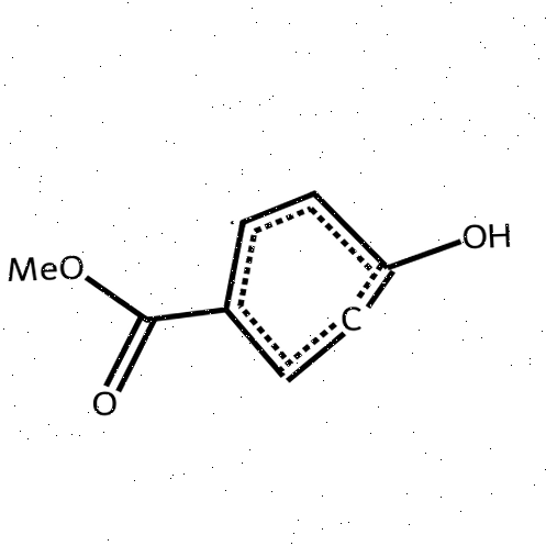 COC(=O)c1[c]cc(O)cc1